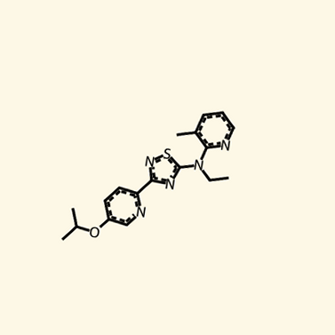 CCN(c1nc(-c2ccc(OC(C)C)cn2)ns1)c1ncccc1C